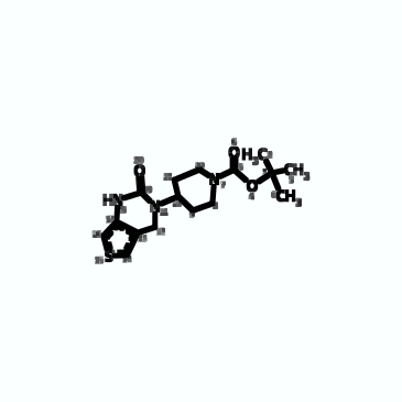 CC(C)(C)OC(=O)N1CCC(N2Cc3cscc3NC2=O)CC1